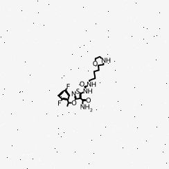 CC(Oc1nsc(NC(=O)NCCCCC2CNCCO2)c1C(N)=O)c1cc(F)ccc1F